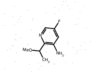 COC(C)c1ncc(F)cc1N